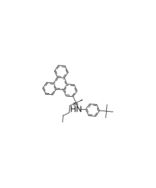 CCCC[C@@](C)(Nc1ccc(C(C)(C)C)cc1)c1ccc2c3ccccc3c3ccccc3c2c1